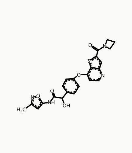 Cc1cc(NC(=O)C(O)c2ccc(Oc3ccnc4cc(C(=O)N5CCC5)sc34)cc2)on1